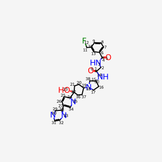 O=C(CNC(=O)c1cccc(CF)c1)N[C@@H]1CCN(C2CCC(O)(c3ccc(-c4cnccn4)cn3)CC2)C1